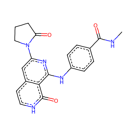 CNC(=O)c1ccc(Nc2nc(N3CCCC3=O)cc3cc[nH]c(=O)c23)cc1